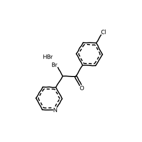 Br.O=C(c1ccc(Cl)cc1)C(Br)c1cccnc1